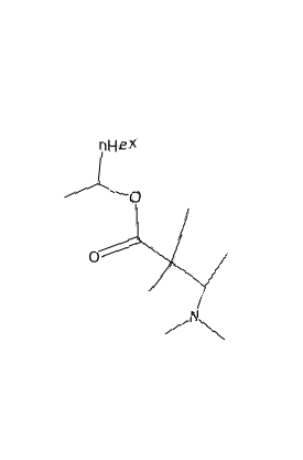 CCCCCCC(C)OC(=O)C(C)(C)C(C)N(C)C